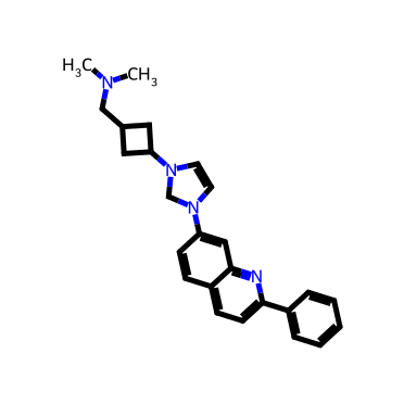 CN(C)CC1CC(N2C=CN(c3ccc4ccc(-c5ccccc5)nc4c3)C2)C1